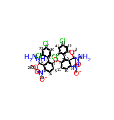 COC(NN)c1c([N+](=O)[O-])ccc(Oc2ccc([N+](=O)[O-])c(C(NN)OC)c2-c2ccc(Cl)cc2Cl)c1-c1ccc(Cl)cc1Cl